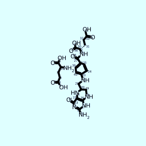 NC(CCC(=O)O)C(=O)O.Nc1nc(=O)c2c([nH]1)NCC(CNc1ccc(C(=O)N[C@@H](CCC(=O)O)C(=O)O)cc1)N2